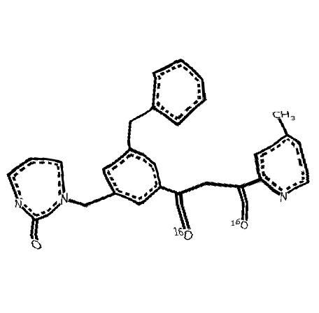 Cc1ccnc(C(=[16O])CC(=[16O])c2cc(Cc3ccccc3)cc(Cn3cccnc3=O)c2)c1